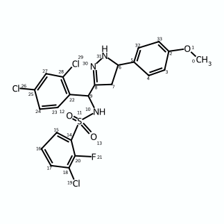 COc1ccc(C2CC(C(NS(=O)(=O)c3cccc(Cl)c3F)c3ccc(Cl)cc3Cl)=NN2)cc1